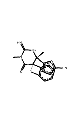 CN1C(=N)N[C@](C)(c2ccc(C#N)s2)[C@]2(Cc3ccccc32)C1=O